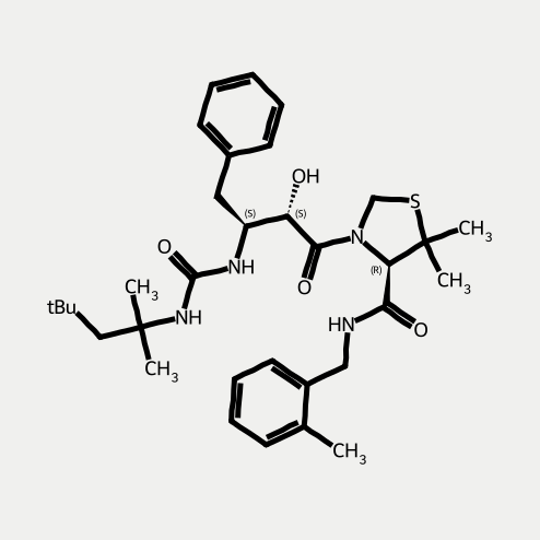 Cc1ccccc1CNC(=O)[C@H]1N(C(=O)[C@@H](O)[C@H](Cc2ccccc2)NC(=O)NC(C)(C)CC(C)(C)C)CSC1(C)C